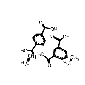 C=C.C=C.O=C(O)c1ccc(C(=O)O)cc1.O=C(O)c1cccc(C(=O)O)c1